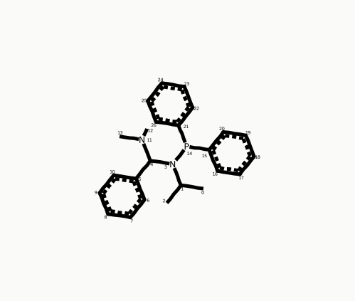 CC(C)N(C(c1ccccc1)N(C)C)P(c1ccccc1)c1ccccc1